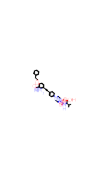 CC(C)[C@@H](NS(=O)(=O)N1CCN(c2ccc(C#Cc3ccc(OCCc4ccccc4)c(C(N)=O)c3)cc2)CC1)C(=O)O